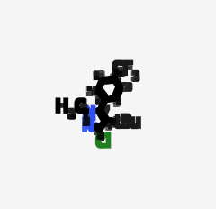 Cn1nc(Cl)c(C(C)(C)C)c1-c1ccc(C(F)(F)F)cc1